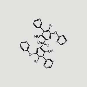 O=S(=O)(c1cc(Oc2ccccc2)c(Br)c(-c2ccccc2)c1O)c1cc(Oc2ccccc2)c(Br)c(-c2ccccc2)c1O